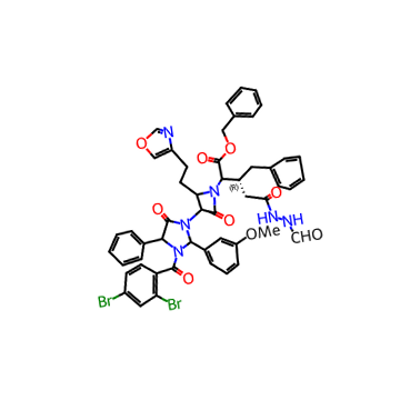 COc1cccc(C2N(C(=O)c3ccc(Br)cc3Br)C(c3ccccc3)C(=O)N2C2C(=O)N(C(C(=O)OCc3ccccc3)[C@@H](CC(=O)NNC=O)Cc3ccccc3)C2CCc2cocn2)c1